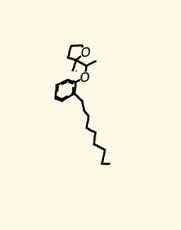 [CH2]C1(C(C)Oc2ccccc2CCCCCCCCC)CCCO1